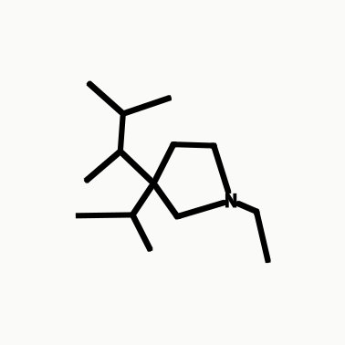 CCN1CCC(C(C)C)(C(C)C(C)C)C1